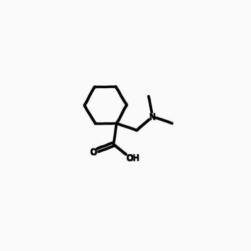 CN(C)CC1(C(=O)O)CCCCC1